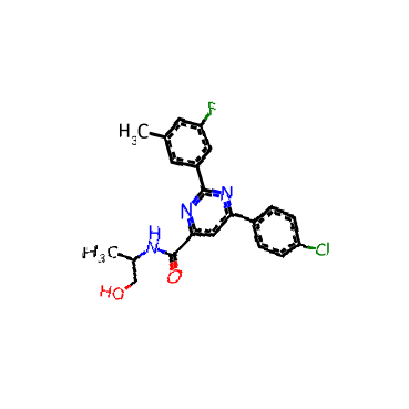 Cc1cc(F)cc(-c2nc(C(=O)NC(C)CO)cc(-c3ccc(Cl)cc3)n2)c1